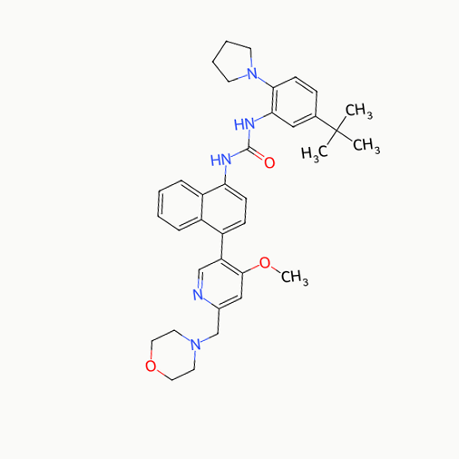 COc1cc(CN2CCOCC2)ncc1-c1ccc(NC(=O)Nc2cc(C(C)(C)C)ccc2N2CCCC2)c2ccccc12